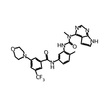 Cc1ccc(NC(=O)c2cc(N3CCOCC3)cc(C(F)(F)F)c2)cc1NC(=O)N(C)c1ncnc2[nH]ccc12